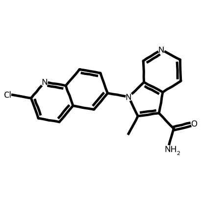 Cc1c(C(N)=O)c2ccncc2n1-c1ccc2nc(Cl)ccc2c1